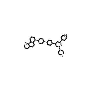 c1cnc2c(c1)ccc1c(-c3ccc(-c4ccc(-c5cc(-c6ccncc6)nc(-c6ccncc6)c5)cc4)cc3)cccc12